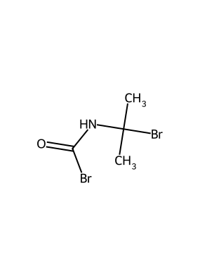 CC(C)(Br)NC(=O)Br